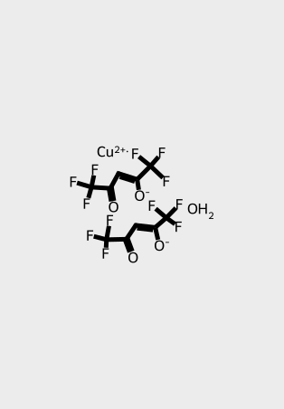 O.O=C(/C=C(\[O-])C(F)(F)F)C(F)(F)F.O=C(/C=C(\[O-])C(F)(F)F)C(F)(F)F.[Cu+2]